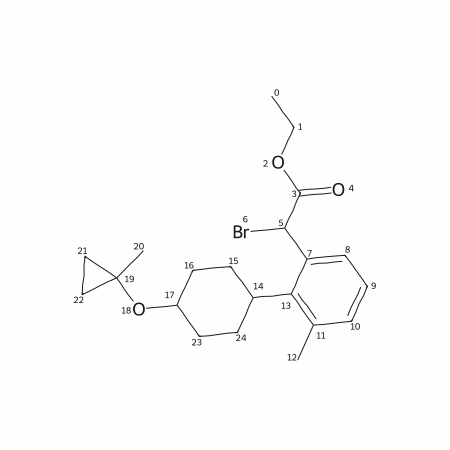 CCOC(=O)C(Br)c1cccc(C)c1C1CCC(OC2(C)CC2)CC1